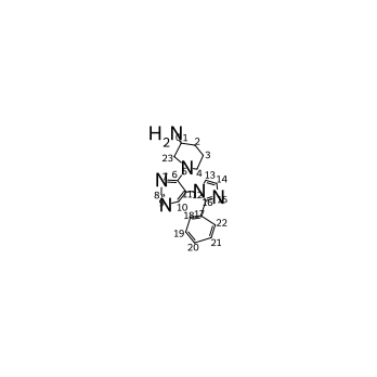 N[C@H]1CCCN(c2ncncc2-n2ccnc2-c2ccccc2)C1